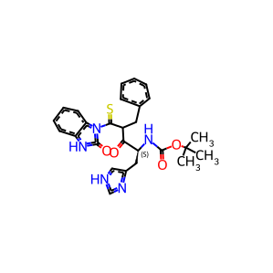 CC(C)(C)OC(=O)N[C@@H](Cc1c[nH]cn1)C(=O)C(Cc1ccccc1)C(=S)n1c(=O)[nH]c2ccccc21